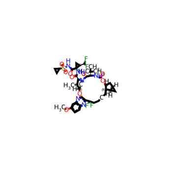 COc1ccc2nc3c(nc2c1)O[C@H]1CN(C(=O)[C@H](C(C)(C)C)NC(=O)O[C@@H]2C[C@@H]4C[C@@H]4[C@H]2CCCCC3(F)F)[C@H](C(=O)N[C@]2(C(=O)NS(=O)(=O)C3CC3)C[C@H]2C(F)F)[C@@H]1C